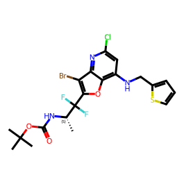 C[C@H](NC(=O)OC(C)(C)C)C(F)(F)c1oc2c(NCc3cccs3)cc(Cl)nc2c1Br